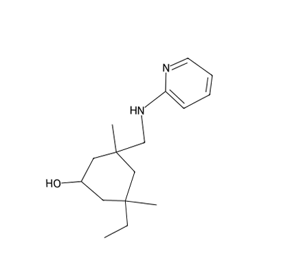 CCC1(C)CC(O)CC(C)(CNc2ccccn2)C1